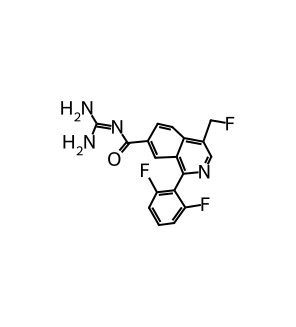 NC(N)=NC(=O)c1ccc2c(CF)cnc(-c3c(F)cccc3F)c2c1